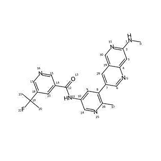 CNc1cc2ncc(-c3cc(NC(=O)c4cncc(C(C)(C)F)c4)cnc3C)cc2cn1